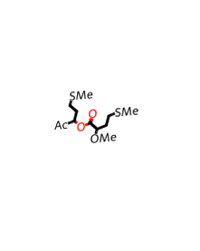 COC(CCSC)C(=O)OC(CCSC)C(C)=O